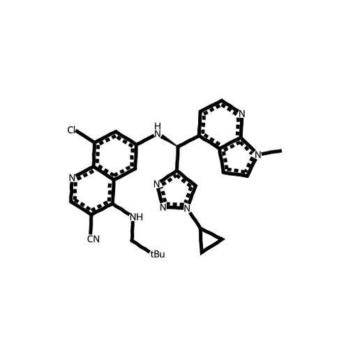 Cn1ccc2c([C@H](Nc3cc(Cl)c4ncc(C#N)c(NCC(C)(C)C)c4c3)c3cn(C4CC4)nn3)ccnc21